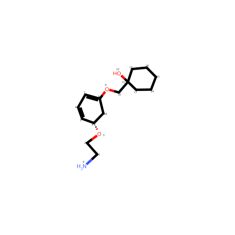 NCCO[C@@H]1C=CC=C(OCC2(O)CCCCC2)C1